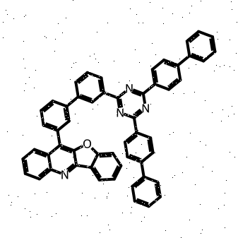 c1ccc(-c2ccc(-c3nc(-c4ccc(-c5ccccc5)cc4)nc(-c4cccc(-c5cccc(-c6c7ccccc7nc7c6oc6ccccc67)c5)c4)n3)cc2)cc1